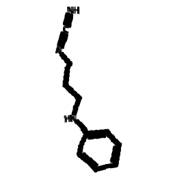 N=C=NCCCNc1ccccc1